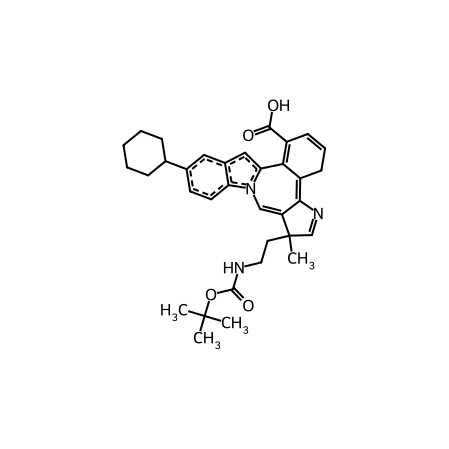 CC(C)(C)OC(=O)NCCC1(C)C=NC2=C3CC=CC(C(=O)O)=C3c3cc4cc(C5CCCCC5)ccc4n3C=C21